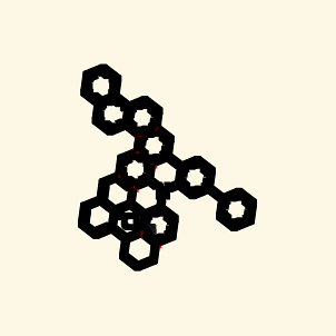 CC12C(=CC=CC1c1ccccc1N(c1cccc(-c3cccc4c3ccc3ccccc34)c1)c1cc(-c3ccccc3)ccc1-c1ccccc1)C=CC=C2C1CCCCC1